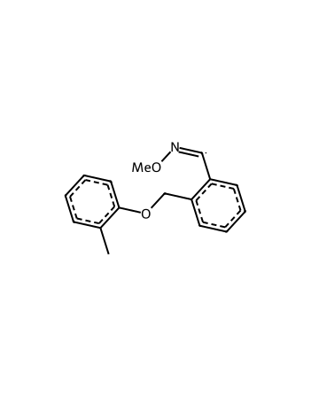 CO/N=[C]\c1ccccc1COc1ccccc1C